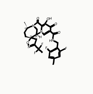 Cc1cc(F)c(CNC(=O)c2cn3c(c(O)c2=O)C(=O)N2C[C@@H]3[C@]3(CC[C@@H]2C)CC(C(C)(F)F)=NO3)c(F)c1